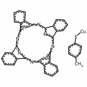 Cc1ccc([S][Cu])cc1.c1ccc2c(c1)-c1nc-2nc2[nH]c(nc3nc(nc4[nH]c(n1)c1ccccc41)-c1ccccc1-3)c1ccccc21